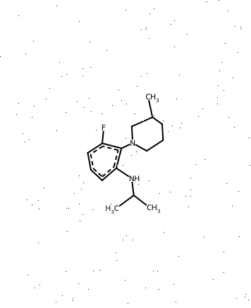 CC1CCCN(c2c(F)cccc2NC(C)C)C1